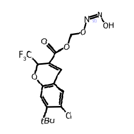 CC(C)(C)c1cc2c(cc1Cl)C=C(C(=O)OCO/N=N\O)C(C(F)(F)F)O2